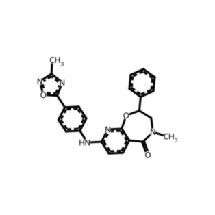 Cc1noc(-c2ccc(Nc3ccc4c(n3)OC(c3ccccc3)CN(C)C4=O)cc2)n1